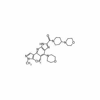 Cc1c(-c2nc3[nH]c(C(=O)N4CCC(N5CCOCC5)CC4)nc3c(N3CCOCC3)c2F)cnn1C